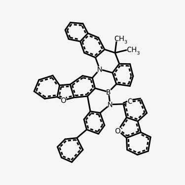 CC1(C)c2cc3ccccc3cc2N2c3cc4c(oc5ccccc54)c4c3B(c3cccc1c32)N(c1cccc2c1oc1ccccc12)c1ccc(-c2ccccc2)cc1-4